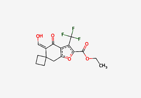 CCOC(=O)c1oc2c(c1C(F)(F)F)C(=O)C(=CO)C1(CCC1)C2